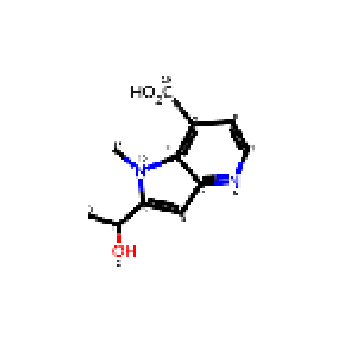 CC(O)c1cc2nccc(C(=O)O)c2n1C